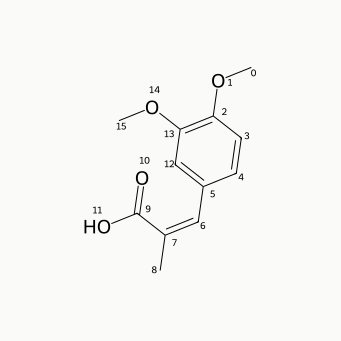 COc1ccc(/C=C(/C)C(=O)O)cc1OC